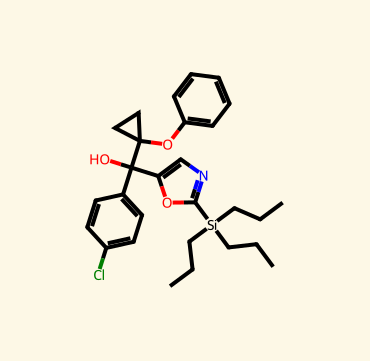 CCC[Si](CCC)(CCC)c1ncc(C(O)(c2ccc(Cl)cc2)C2(Oc3ccccc3)CC2)o1